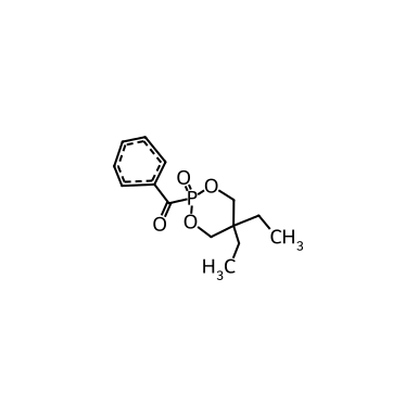 CCC1(CC)COP(=O)(C(=O)c2ccccc2)OC1